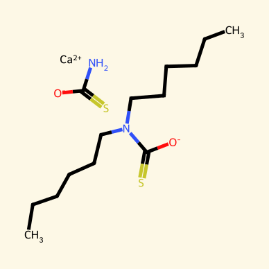 CCCCCCN(CCCCCC)C([O-])=S.NC([O-])=S.[Ca+2]